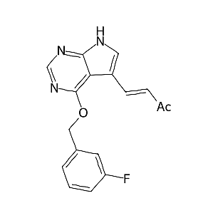 CC(=O)C=Cc1c[nH]c2ncnc(OCc3cccc(F)c3)c12